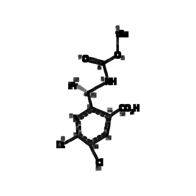 CCc1nc([C@@H](NC(=O)OC(C)(C)C)C(C)C)c(C(=O)O)cc1Cl